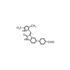 Cc1cc(C)c(/C=C2\C(=O)Nc3ccc(-c4ccc(C=O)cc4)cc32)[nH]1